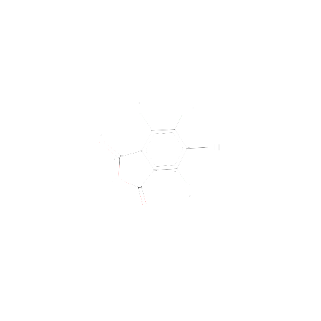 Cc1c(Cl)c(Cl)c2c(c1Cl)C(=O)OC2=O